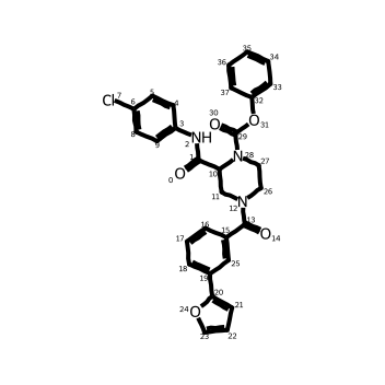 O=C(Nc1ccc(Cl)cc1)C1CN(C(=O)c2cccc(-c3ccco3)c2)CCN1C(=O)Oc1ccccc1